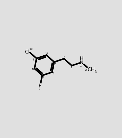 CNCCc1cc(F)cc(Cl)c1